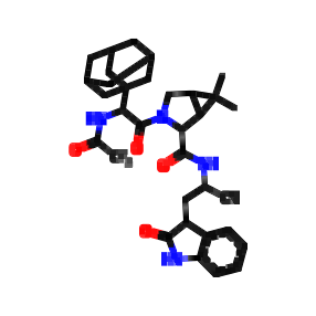 CC1(C)C2CN(C(=O)C(NC(=O)C(F)(F)F)C34CC5CC(CC(C5)C3)C4)C(C(=O)NC(C#N)CC3C(=O)Nc4ccccc43)C21